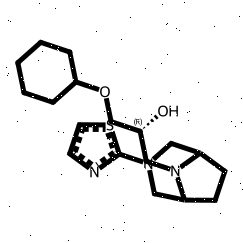 O[C@@H](COC1CCCCC1)CN1C2CCC1CN(c1nccs1)C2